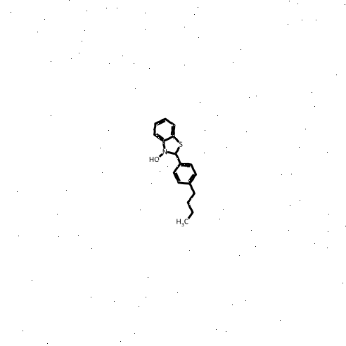 CCCCc1ccc(C2Sc3ccccc3N2O)cc1